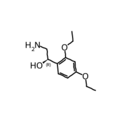 CCOc1ccc([C@@H](O)CN)c(OCC)c1